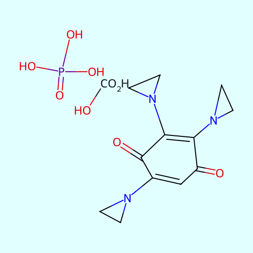 O=C(O)O.O=C1C=C(N2CC2)C(=O)C(N2CC2)=C1N1CC1.O=P(O)(O)O